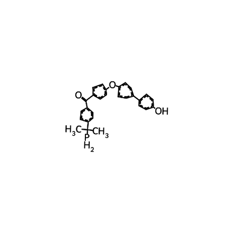 CC(C)(P)c1ccc(C(=O)c2ccc(Oc3ccc(-c4ccc(O)cc4)cc3)cc2)cc1